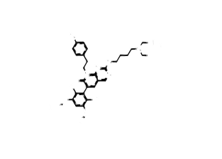 CCN(CC)CCCCNc1ncc2cc(-c3c(Cl)c(OC)cc(OC)c3Cl)c(=O)n(CCc3ccc(N)cc3)c2n1